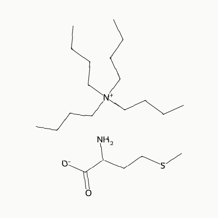 CCCC[N+](CCCC)(CCCC)CCCC.CSCCC(N)C(=O)[O-]